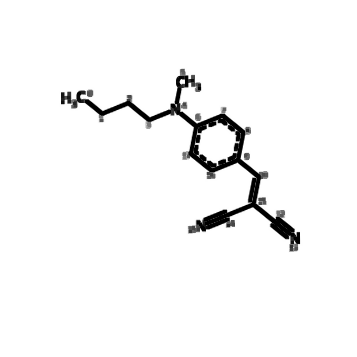 CCCCN(C)c1ccc(C=C(C#N)C#N)cc1